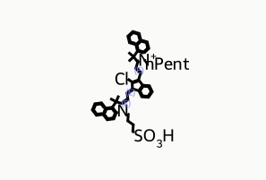 CCCCC[N+]1=C(/C=C/C2=C(Cl)C(=C/C=C3/N(CCCCS(=O)(=O)O)c4ccc5ccccc5c4C3(C)C)/c3ccccc32)C(C)(C)c2c1ccc1ccccc21